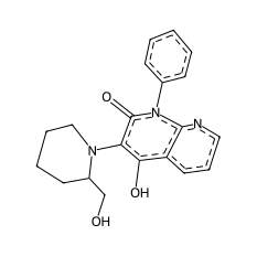 O=c1c(N2CCCCC2CO)c(O)c2cccnc2n1-c1ccccc1